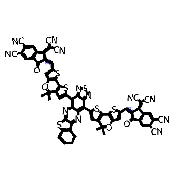 CC1(C)Oc2cc(/C=C3\C(=O)c4cc(C#N)c(C#N)cc4C3=C(C#N)C#N)sc2-c2sc(-c3c4nsnc4c(-c4cc5c(s4)-c4sc(/C=C6\C(=O)c7cc(C#N)c(C#N)cc7C6=C(C#N)C#N)cc4OC5(C)C)c4nc5c6c(sc5nc34)C=CCC6)cc21